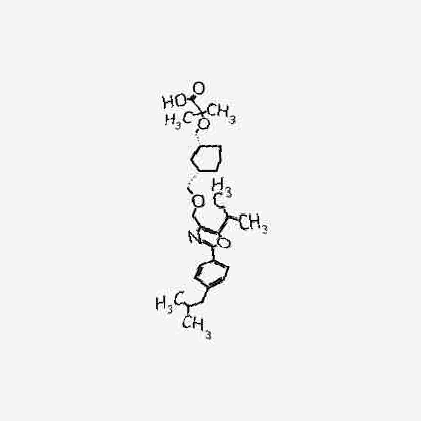 CC(C)Cc1ccc(-c2nc(COC[C@H]3CCC[C@@H](COC(C)(C)C(=O)O)C3)c(C(C)C)o2)cc1